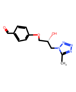 Cc1nnnn1C[C@@H](O)COc1ccc(C=O)cc1